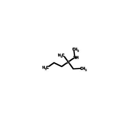 CCC[Si](C)(CC)NC